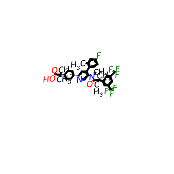 Cc1cc(F)ccc1-c1cc([C@H]2CC[C@H](C(C)(C)C(=O)O)CC2)ncc1N(C)C(=O)C(C)(C)c1cc(C(F)(F)F)cc(C(F)(F)F)c1